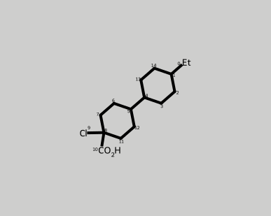 CCC1CCC(C2CCC(Cl)(C(=O)O)CC2)CC1